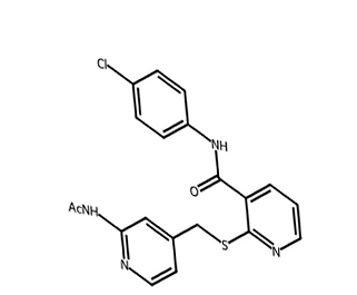 CC(=O)Nc1cc(CSc2ncccc2C(=O)Nc2ccc(Cl)cc2)ccn1